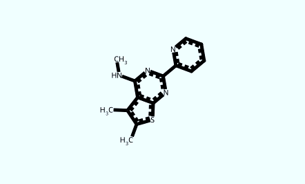 CNc1nc(-c2ccccn2)nc2sc(C)c(C)c12